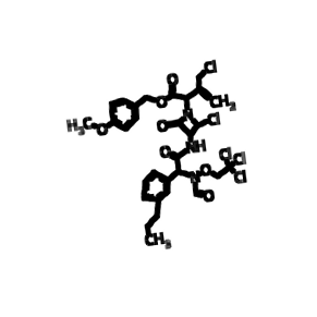 C=C(CCl)C(C(=O)OCc1ccc(OC)cc1)N1C(=O)C(NC(=O)C(c2cccc(CCC)c2)N(C=O)OCC(Cl)(Cl)Cl)C1Cl